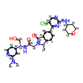 C[C@@H]1c2ccc(-c3nc(NC4CCOCC4)ncc3Cl)cc2C(=O)N1CC(=O)N[C@H](CO)c1ccnc(N(C)C)c1